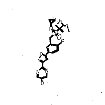 C/N=C(/N)C(C)(C)S(=O)(Cc1cc(-c2cc(-c3ncc(Cl)cn3)no2)ccc1F)=NC1CC1